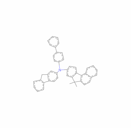 CC1(C)c2cc(N(c3ccc(-c4ccccc4)cc3)c3ccc4c(c3)Cc3ccccc3-4)ccc2-c2c1ccc1ccccc21